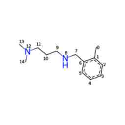 Cc1ccccc1CNCCCN(C)C